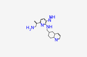 C=C(CN)c1ccc(N=N)c(NCC2CCC3N=CC=CC3C2)n1